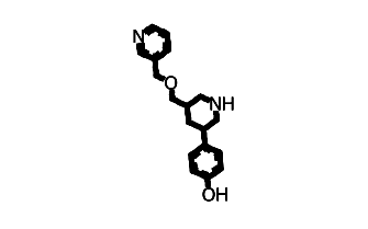 Oc1ccc(C2CNCC(COCc3cccnc3)C2)cc1